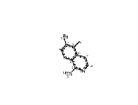 Cc1c(C(C)C)ccc2c(N)nccc12